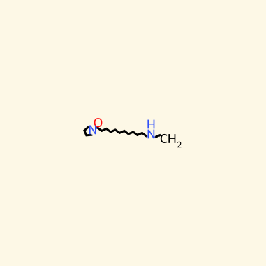 C=CCNCCCCCCCCCCCC(=O)N1CCCC1